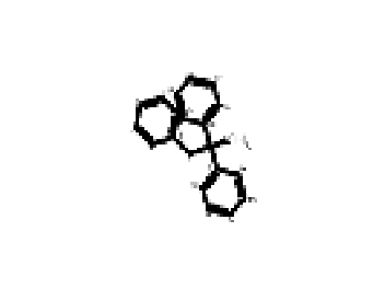 CC([CH]c1ccccc1)(c1ccccc1)c1ccccc1